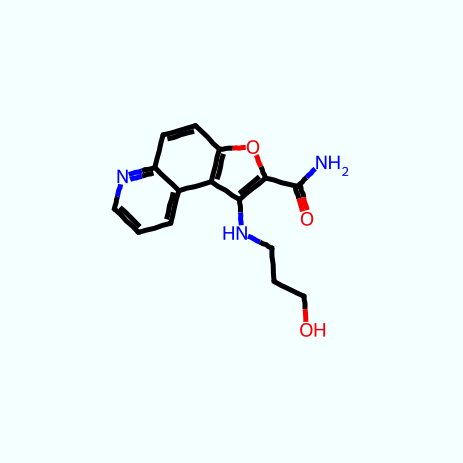 NC(=O)c1oc2ccc3ncccc3c2c1NCCCO